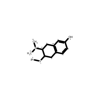 CC(C)SC1Cc2ccc(O)cc2CC1N(C)C